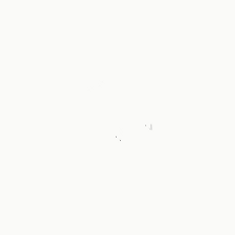 CCOC(=O)CC1N=C(N)c2c(F)cccc21